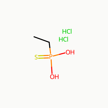 CCP(O)(O)=S.Cl.Cl